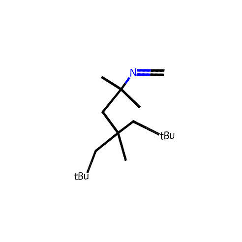 C=NC(C)(C)CC(C)(CC(C)(C)C)CC(C)(C)C